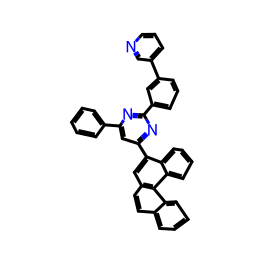 c1ccc(-c2cc(-c3cc4ccc5ccccc5c4c4ccccc34)nc(-c3cccc(-c4cccnc4)c3)n2)cc1